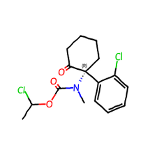 CC(Cl)OC(=O)N(C)[C@@]1(c2ccccc2Cl)CCCCC1=O